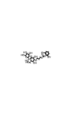 CC(C)c1cccc(C(C)C)c1OC(=O)OCCCO[C@@H]1[C@@H](O)[C@@H](O[C@H]2[C@H](O)[C@@H](O)[C@H](O)O[C@@H]2CO)O[C@H](CO)[C@H]1O